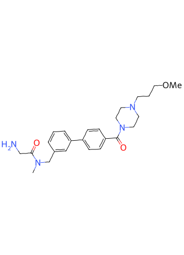 COCCCN1CCN(C(=O)c2ccc(-c3cccc(CN(C)C(=O)CN)c3)cc2)CC1